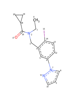 CCN(Cc1cc(-n2cccn2)ccc1I)C(=O)C1CC1